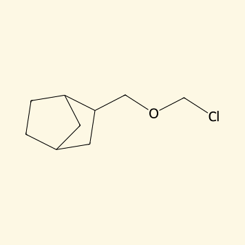 ClCOCC1CC2CCC1C2